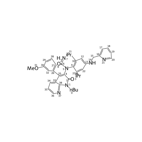 CCCCn1c(=O)c(N(C(N)=O)c2c(C(C)C)cc(NCc3ccccn3)cc2C(C)C)c(-c2cccc(OC)c2)c2cccnc21